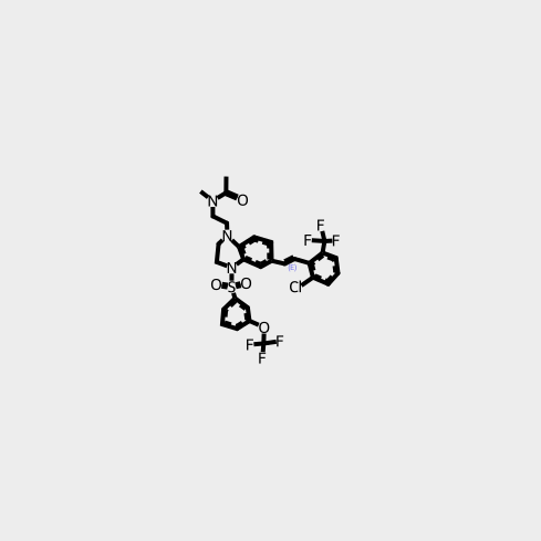 CC(=O)N(C)CCN1CCN(S(=O)(=O)c2cccc(OC(F)(F)F)c2)c2cc(/C=C/c3c(Cl)cccc3C(F)(F)F)ccc21